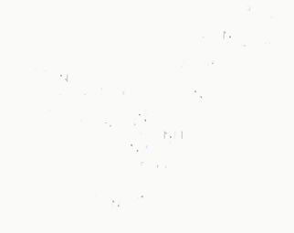 CC(C)NC(=O)C1CCC(n2/c(=N/C(=O)c3cncs3)[nH]c3cnc(OCCN4CCCCC4)cc32)CC1